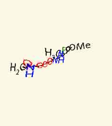 C=CC(=O)NCCOCCOCCOCCNCC[C@H]1C[C@H](Cc2cc(OC)ccc2F)CN1C